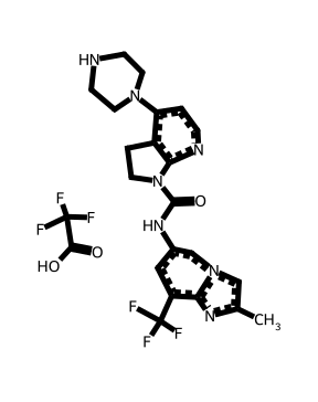 Cc1cn2cc(NC(=O)N3CCc4c(N5CCNCC5)ccnc43)cc(C(F)(F)F)c2n1.O=C(O)C(F)(F)F